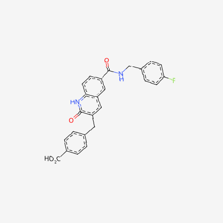 O=C(O)c1ccc(Cc2cc3cc(C(=O)NCc4ccc(F)cc4)ccc3[nH]c2=O)cc1